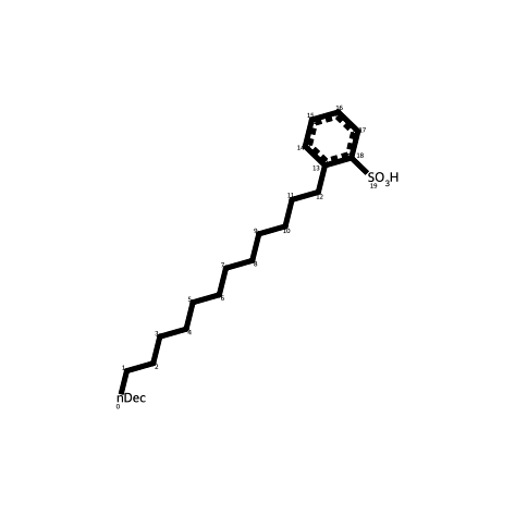 CCCCCCCCCCCCCCCCCCCCCCc1ccccc1S(=O)(=O)O